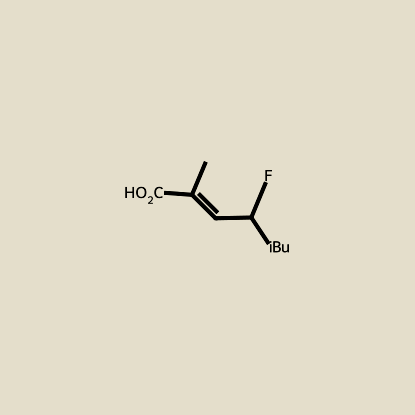 CCC(C)C(F)/C=C(\C)C(=O)O